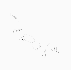 CS(=O)(=O)c1ccc2[nH]c(C(=O)CC#N)cc2c1